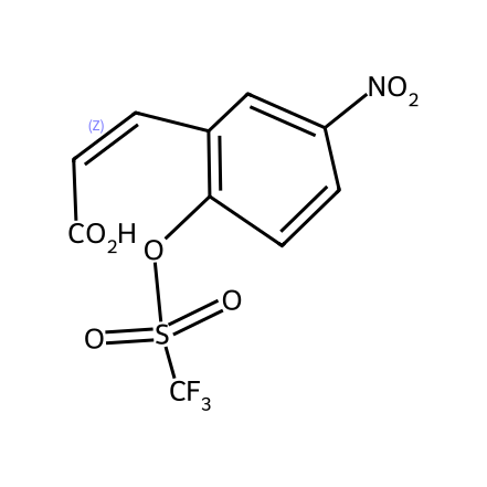 O=C(O)/C=C\c1cc([N+](=O)[O-])ccc1OS(=O)(=O)C(F)(F)F